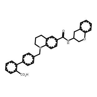 O=C(NC1COc2ccccc2C1)c1ccc2c(c1)CCCN2Cc1ccc(-c2ccccc2C(=O)O)cc1